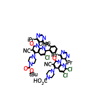 CC(C)c1ncnc(C(C)C)c1-n1c(=O)c(C#N)c(N2CCN(C(=O)O)CC2)c2cc(Cl)c(Cl)nc21.CC(C)c1ncnc(C(C)C)c1-n1c(=O)c(C#N)c(N2CCN(C(=O)OC(C)(C)C)CC2)c2cc(Cl)c(-c3ccccc3C=O)nc21